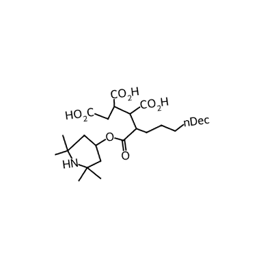 CCCCCCCCCCCCCC(C(=O)OC1CC(C)(C)NC(C)(C)C1)C(C(=O)O)C(CC(=O)O)C(=O)O